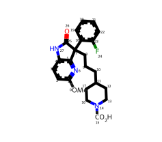 COc1ccc2c(n1)C(CCCC1CCN(C(=O)O)CC1)(c1ccccc1F)C(=O)N2